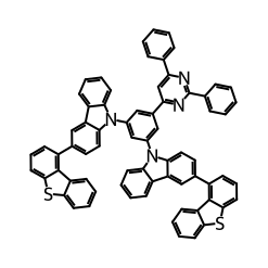 c1ccc(-c2cc(-c3cc(-n4c5ccccc5c5cc(-c6cccc7sc8ccccc8c67)ccc54)cc(-n4c5ccccc5c5cc(-c6cccc7sc8ccccc8c67)ccc54)c3)nc(-c3ccccc3)n2)cc1